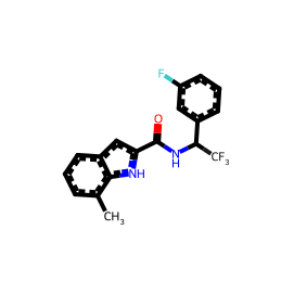 Cc1cccc2cc(C(=O)NC(c3cccc(F)c3)C(F)(F)F)[nH]c12